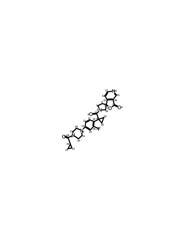 O=C1OC2(CCN(C(=O)C3(c4ccc(N5CCN(C(=O)C6CC6)CC5)cc4F)CC3)C2)c2ccncc21